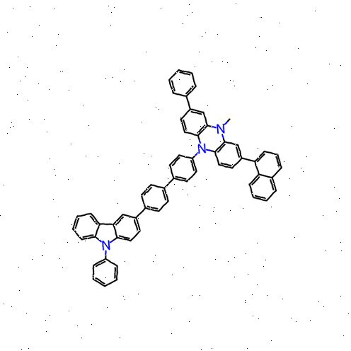 CN1c2cc(-c3ccccc3)ccc2N(c2ccc(-c3ccc(-c4ccc5c(c4)c4ccccc4n5-c4ccccc4)cc3)cc2)c2ccc(-c3cccc4ccccc34)cc21